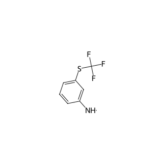 [NH]c1cccc(SC(F)(F)F)c1